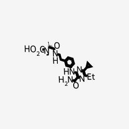 CCc1nc(C(N)=O)c(Nc2cccc(CCNC(=O)[C@@H](C)N(C)C(=O)O)c2)nc1C1CC1